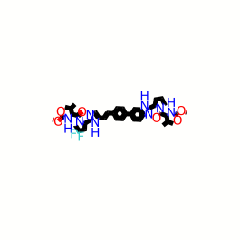 COC(=O)NC(C(=O)N1CC(F)(F)CC1c1ncc(/C=C/c2ccc(-c3ccc4nc(C5CCCN5C(=O)C(NC(=O)OC)C(C)C)[nH]c4c3)cc2)[nH]1)C(C)C